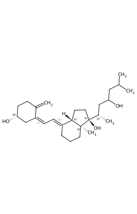 C=C1CC[C@@H](O)C/C1=C/C=C1\CCC[C@@]2(C)[C@H]1CC[C@]2(O)[C@@H](C)CC(O)CC(C)C